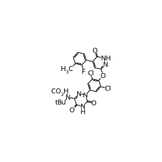 Cc1cccc(-c2cc(Oc3c(Cl)cc(-n4nc(N(C(=O)O)C(C)(C)C)c(=O)[nH]c4=O)cc3Cl)n[nH]c2=O)c1F